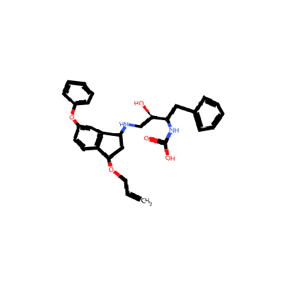 C=CCOC1CC(NC[C@@H](O)C(Cc2ccccc2)NC(=O)O)c2cc(Oc3ccccc3)ccc21